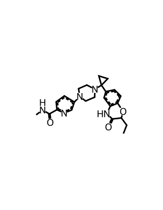 CCC1Oc2ccc(C3(N4CCN(c5ccc(C(=O)NC)nc5)CC4)CC3)cc2NC1=O